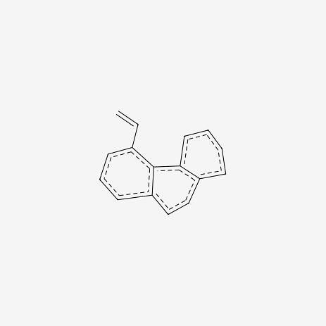 C=Cc1cccc2ccc3ccccc3c12